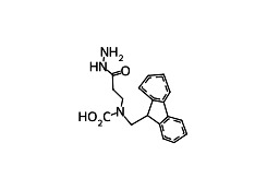 NNC(=O)CCN(CC1c2ccccc2-c2ccccc21)C(=O)O